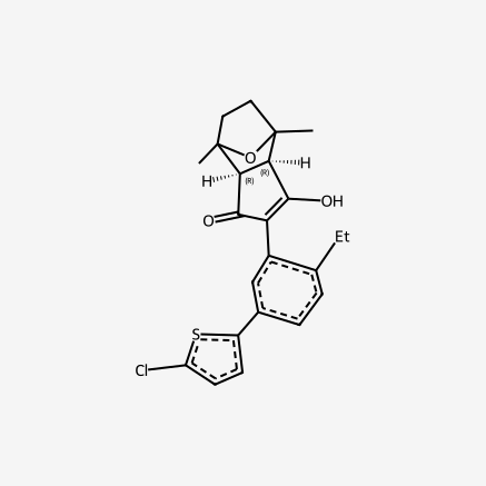 CCc1ccc(-c2ccc(Cl)s2)cc1C1=C(O)[C@H]2[C@@H](C1=O)C1(C)CCC2(C)O1